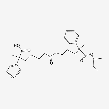 CCC(C)OC(=O)C(C)(CCCCC(=O)CCCCC(C)(C(=O)O)c1ccccc1)c1ccccc1